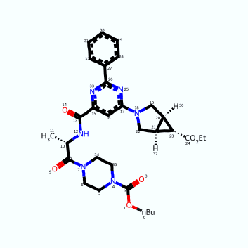 CCCCOC(=O)N1CCN(C(=O)[C@H](C)NC(=O)c2cc(N3C[C@@H]4[C@H](C3)[C@H]4C(=O)OCC)nc(-c3ccccc3)n2)CC1